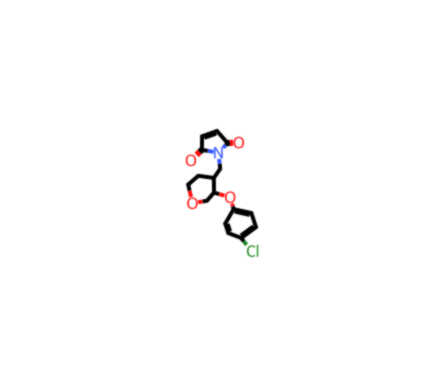 O=C1C=CC(=O)N1CC1CCOCC1Oc1ccc(Cl)cc1